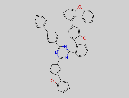 c1ccc(-c2ccc(-c3nc(-c4ccc5oc6ccccc6c5c4)nc(-c4cccc5oc6cc(-c7cccc8oc9ccccc9c78)ccc6c45)n3)cc2)cc1